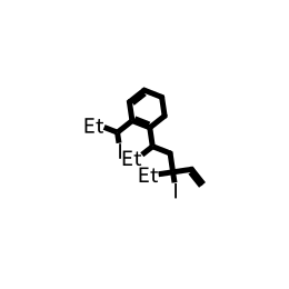 C=CC(I)(CC)CC(CC)C1=C(C(I)CC)C=CCC1